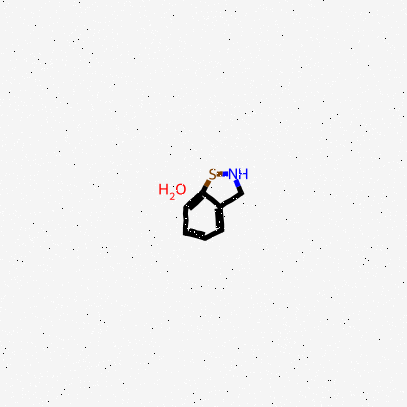 O.c1ccc2c(c1)CNS2